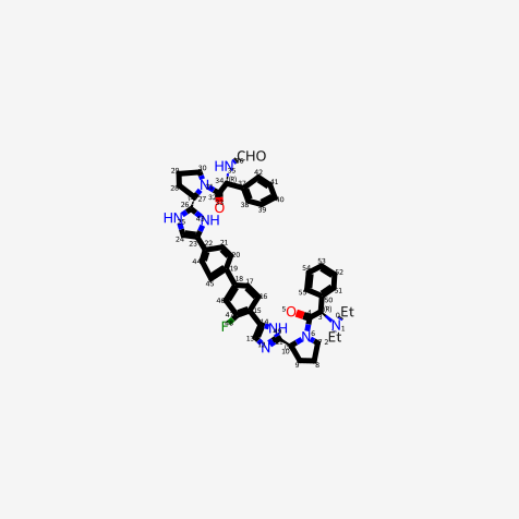 CCN(CC)[C@@H](C(=O)N1CCC[C@H]1c1ncc(-c2ccc(-c3ccc(C4=CNC([C@@H]5CCCN5C(=O)[C@H](NC=O)c5ccccc5)N4)cc3)cc2F)[nH]1)c1ccccc1